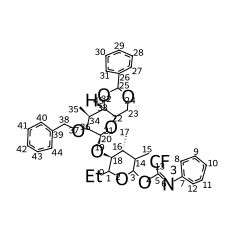 CCC1OC(O/C(=N/c2ccccc2)C(F)(F)F)C(C)[C@@H](C)[C@@H]1O[C@@H]1OC2COC(c3ccccc3)O[C@H]2[C@H](C)C1OCc1ccccc1